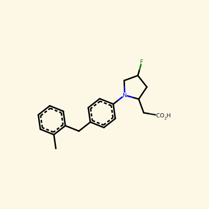 Cc1ccccc1Cc1ccc(N2CC(F)CC2CC(=O)O)cc1